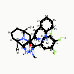 Cn1nc2c(c1-c1cc(F)c(F)c(F)c1)C[C@H]1CCC[C@@H]2N1C(=O)c1cc2ccccc2nn1